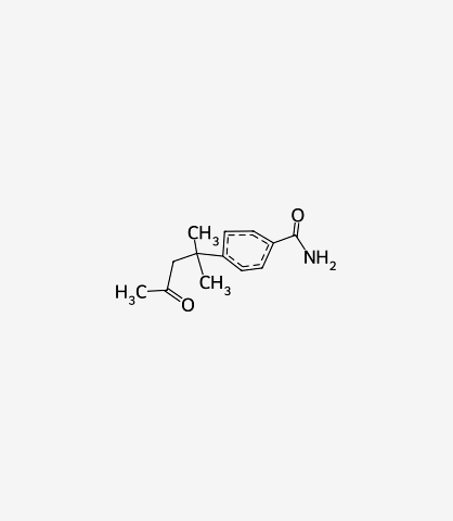 CC(=O)CC(C)(C)c1ccc(C(N)=O)cc1